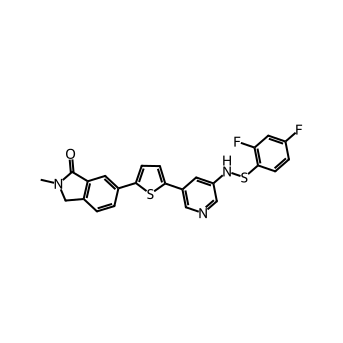 CN1Cc2ccc(-c3ccc(-c4cncc(NSc5ccc(F)cc5F)c4)s3)cc2C1=O